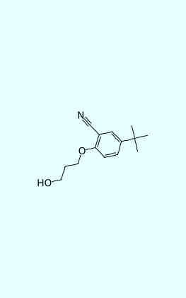 CC(C)(C)c1ccc(OCCCO)c(C#N)c1